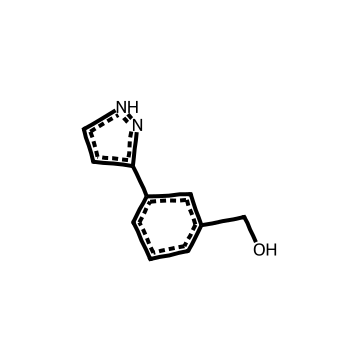 OCc1cccc(-c2cc[nH]n2)c1